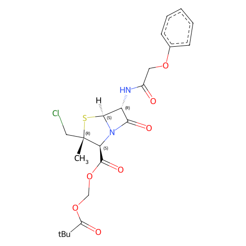 CC(C)(C)C(=O)OCOC(=O)[C@@H]1N2C(=O)[C@@H](NC(=O)COc3ccccc3)[C@@H]2S[C@@]1(C)CCl